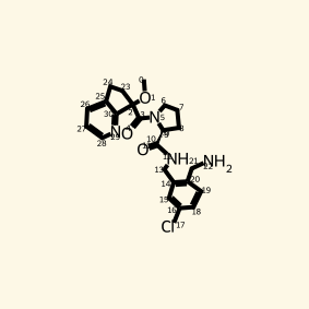 COC1(C(=O)N2CCC[C@H]2C(=O)NCc2cc(Cl)ccc2CN)CCc2cccnc21